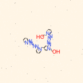 C[n+]1ccccc1/N=N/C=N/N=c1\ccccn1Cc1ccn(CCO)/c(=N/N=C/N=N/c2cccc[n+]2CCO)c1